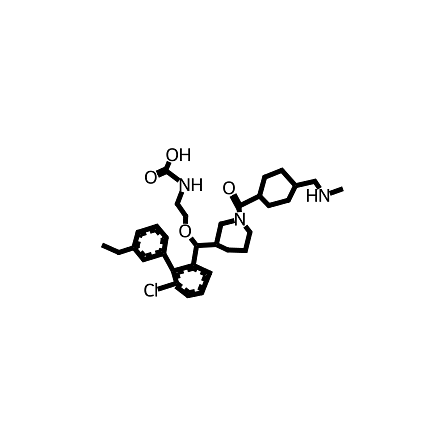 CCc1cccc(-c2c(Cl)cccc2C(OCCNC(=O)O)C2CCCN(C(=O)C3CCC(CNC)CC3)C2)c1